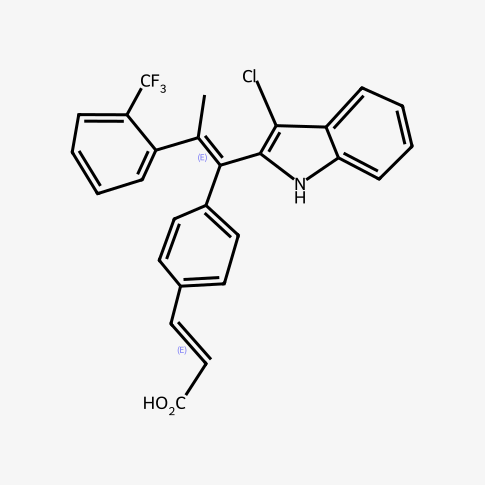 C/C(=C(/c1ccc(/C=C/C(=O)O)cc1)c1[nH]c2ccccc2c1Cl)c1ccccc1C(F)(F)F